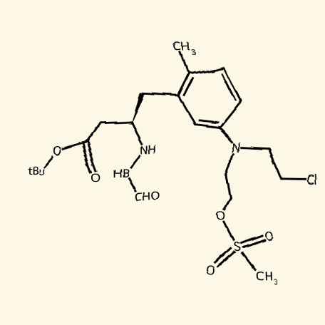 Cc1ccc(N(CCCl)CCOS(C)(=O)=O)cc1C[C@H](CC(=O)OC(C)(C)C)NBC=O